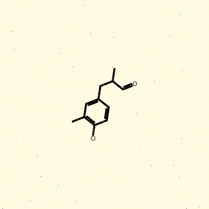 Cc1cc(CC(C)C=O)ccc1Cl